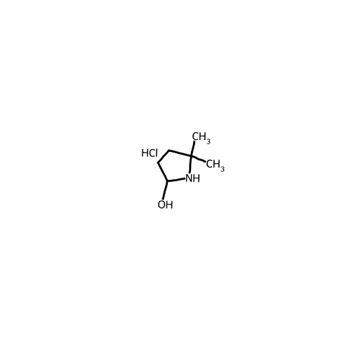 CC1(C)CCC(O)N1.Cl